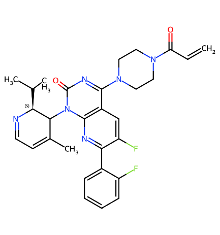 C=CC(=O)N1CCN(c2nc(=O)n(C3C(C)=CC=N[C@H]3C(C)C)c3nc(-c4ccccc4F)c(F)cc23)CC1